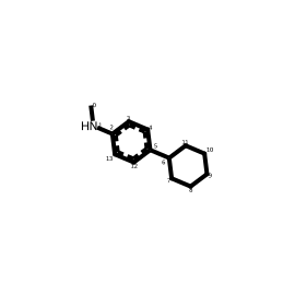 CNc1ccc(C2CCCCC2)cc1